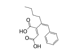 CCCCC(=C/c1ccccc1)/C(=C/C(=O)O)C(=O)O